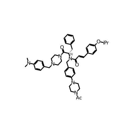 CC(=O)N1CCN(c2ccc(CN(C(=O)C=Cc3ccc(OC(C)C)cc3)[C@@H](Cc3ccccc3)C(=O)N3CCN(Cc4ccc(N(C)C)cc4)CC3)cc2)CC1